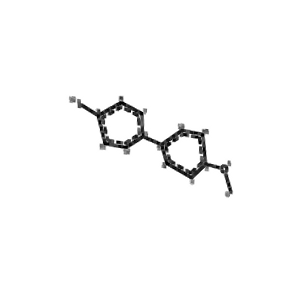 COc1c[c]c(-c2ccc(I)cc2)cc1